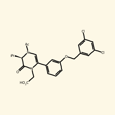 CC(=O)N1C=C(c2cccc(OCc3cc(Cl)cc(Cl)c3)c2)N(CC(=O)O)C(=O)[C@H]1C(C)C